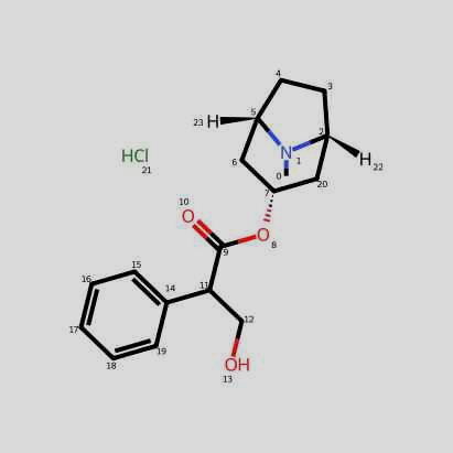 CN1[C@@H]2CC[C@H]1C[C@@H](OC(=O)C(CO)c1ccccc1)C2.Cl